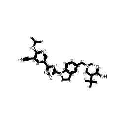 CC(C)Oc1ncc(-c2nc(N3CCc4cc(CN(C)CC(C(=O)O)C(C)(C)C)ccc43)no2)cc1C#N